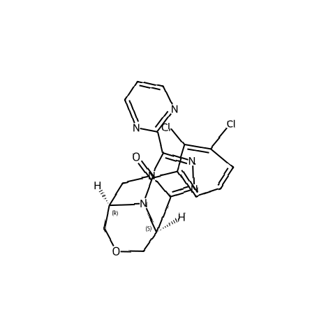 O=C(c1cccc(Cl)c1Cl)N1[C@H]2COC[C@@H]1c1nnc(-c3ncccn3)n1C2